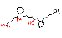 CCCCCc1ccccc1CC(O)/C=C/C=C/[C@H]1CCCC[C@H]1C(O)CCCC(=O)O